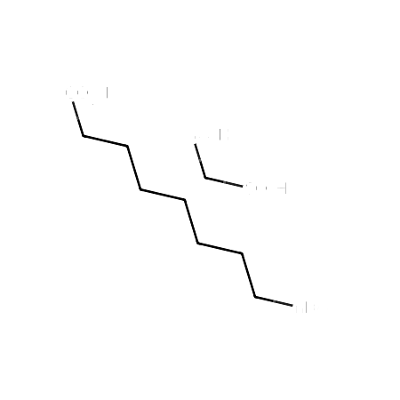 CCCCCCCCCCCCCCCCCC(=O)O.O=S(=O)(O)CS(=O)(=O)O